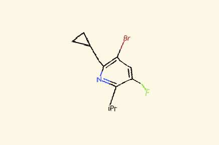 CC(C)c1nc(C2CC2)c(Br)cc1F